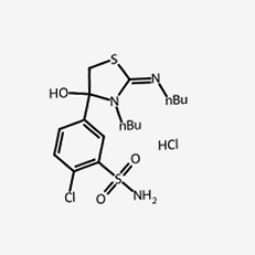 CCCCN=C1SCC(O)(c2ccc(Cl)c(S(N)(=O)=O)c2)N1CCCC.Cl